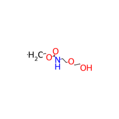 [CH2]COC(=O)NCCOCCO